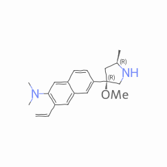 C=Cc1cc2cc([C@@]3(OC)CN[C@H](C)C3)ccc2cc1N(C)C